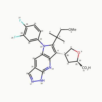 COCC(C)(C)c1c([C@@H]2CO[C@@H](C(=O)O)C2)c2nc3[nH]ncc3cc2n1-c1ccc(F)c(F)c1